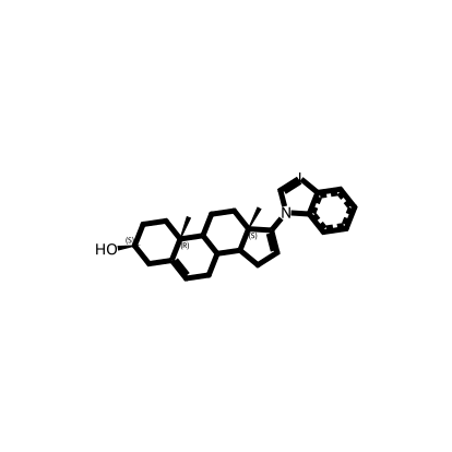 C[C@]12CC[C@H](O)CC1=CCC1C2CC[C@]2(C)C(N3C=Ic4ccccc43)=CCC12